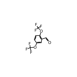 O=Cc1cc(OC(F)(F)F)ccc1OC(F)(F)F